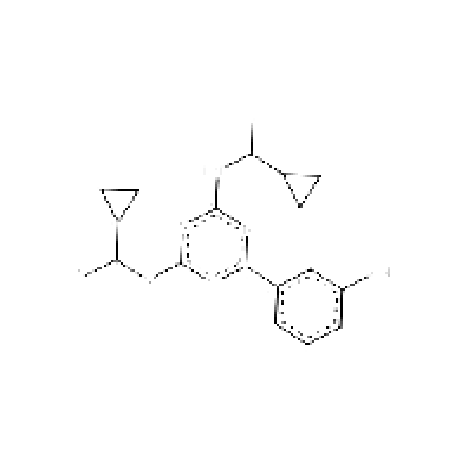 CC(Nc1nc(NC(C)C2CC2)nc(-c2cccc(C#N)c2)n1)C1CC1